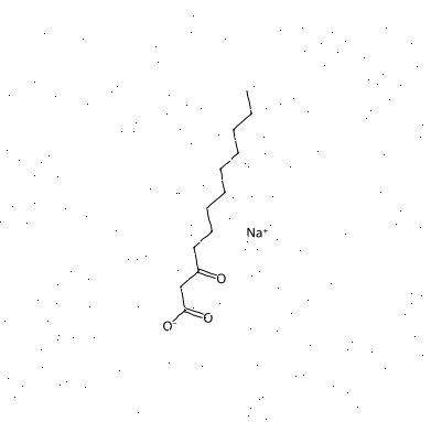 CCCCCCCCCC(=O)CC(=O)[O-].[Na+]